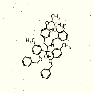 Cc1ccc(OCc2ccccc2)c(C(O)(c2cc(C)ccc2OCc2ccccc2)C(Cc2ccc(OC(C)C)cc2)N=Cc2cccc(F)c2O)c1